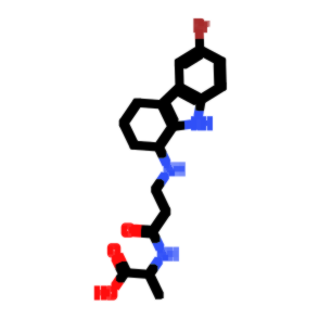 CC(NC(=O)CCNC1CCCc2c1[nH]c1ccc(Br)cc21)C(=O)O